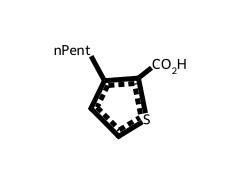 CCCCCc1ccsc1C(=O)O